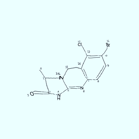 CC1C(=O)NC2=Nc3ccc(Br)c(Cl)c3CN21